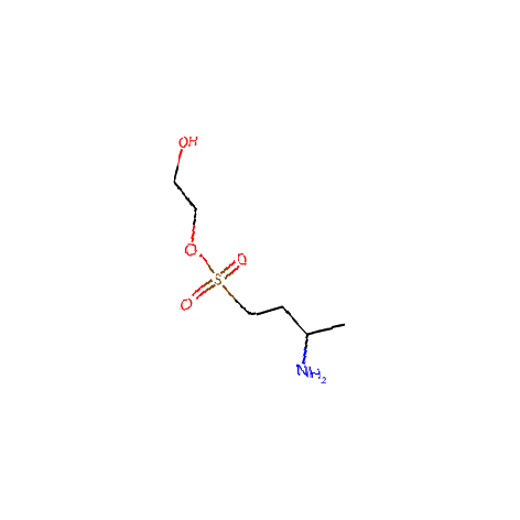 CC(N)CCS(=O)(=O)OCCO